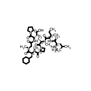 CC[C@H](C)[C@H](NC(=O)[C@H](CC(C)C)NC)C(=O)N(C)[C@@H](C)C(=O)N1CC[C@H]1C(=O)N(C)[C@@H](CC1CCCCC1)C(=O)N(C)CC(=O)N[C@@H](CC(=O)O)C(=O)N1CCCC1